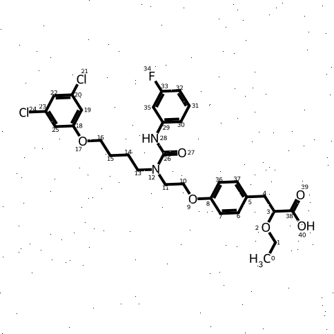 CCOC(Cc1ccc(OCCN(CCCCOc2cc(Cl)cc(Cl)c2)C(=O)Nc2cccc(F)c2)cc1)C(=O)O